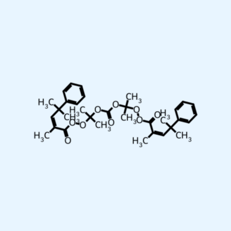 C/C(=C/C(C)(C)c1ccccc1)C(=O)OOC(C)(C)OC(=O)OC(C)(C)OOC(=O)/C(C)=C\C(C)(C)c1ccccc1